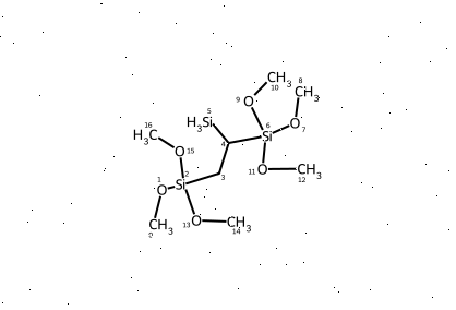 CO[Si](CC([SiH3])[Si](OC)(OC)OC)(OC)OC